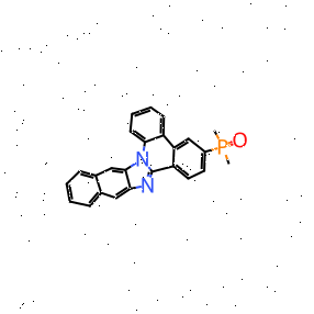 CP(C)(=O)c1ccc2c(c1)c1ccccc1n1c3cc4ccccc4cc3nc21